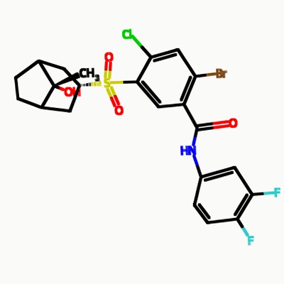 C[C@]1(O)C2CCC1C[C@@H](S(=O)(=O)c1cc(C(=O)Nc3ccc(F)c(F)c3)c(Br)cc1Cl)C2